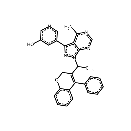 CC(C1=C(c2ccccc2)c2ccccc2OC1)n1nc(-c2cncc(O)c2)c2c(N)ncnc21